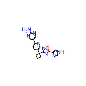 Nc1ncc(-c2ccc(C3(c4noc(-c5c[nH]cn5)n4)CCC3)cn2)cn1